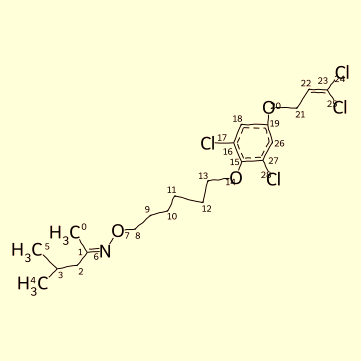 C/C(CC(C)C)=N\OCCCCCCOc1c(Cl)cc(OCC=C(Cl)Cl)cc1Cl